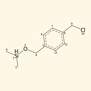 C[SiH](C)OCc1ccc(CCl)cc1